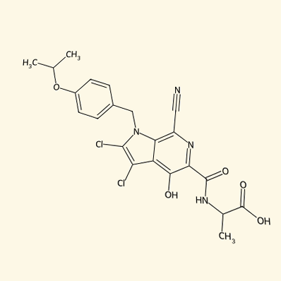 CC(C)Oc1ccc(Cn2c(Cl)c(Cl)c3c(O)c(C(=O)NC(C)C(=O)O)nc(C#N)c32)cc1